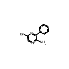 NC1=[N+]=C=C(Br)N=C1c1ccccc1